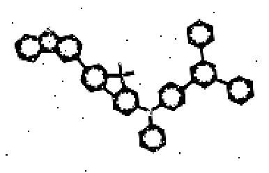 CC1(C)c2cc(-c3ccc4sc5ccccc5c4c3)ccc2-c2ccc(N(c3ccccc3)c3ccc(-c4cc(-c5ccccc5)cc(-c5ccccc5)c4)cc3)cc21